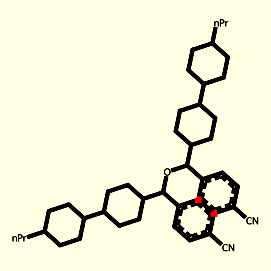 CCCC1CCC(C2CCC(C(OC(c3ccc(C#N)cc3)C3CCC(C4CCC(CCC)CC4)CC3)c3ccc(C#N)cc3)CC2)CC1